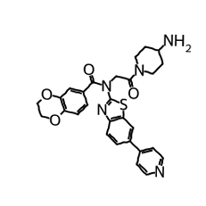 NC1CCN(C(=O)CN(C(=O)c2ccc3c(c2)OCCO3)c2nc3ccc(-c4ccncc4)cc3s2)CC1